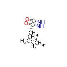 C.C.C.C.C.CC.CC.N=C=O.N=C=O